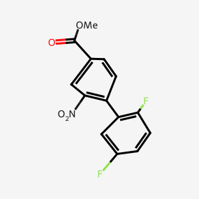 COC(=O)c1ccc(-c2cc(F)ccc2F)c([N+](=O)[O-])c1